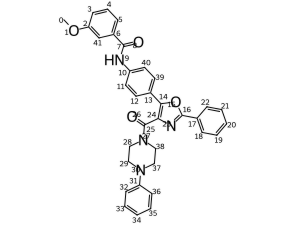 COc1cccc(C(=O)Nc2ccc(-c3oc(-c4ccccc4)nc3C(=O)N3CCN(c4ccccc4)CC3)cc2)c1